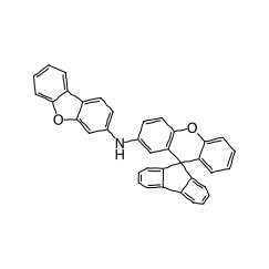 c1ccc2c(c1)Oc1ccc(Nc3ccc4c(c3)oc3ccccc34)cc1C21c2ccccc2-c2ccccc21